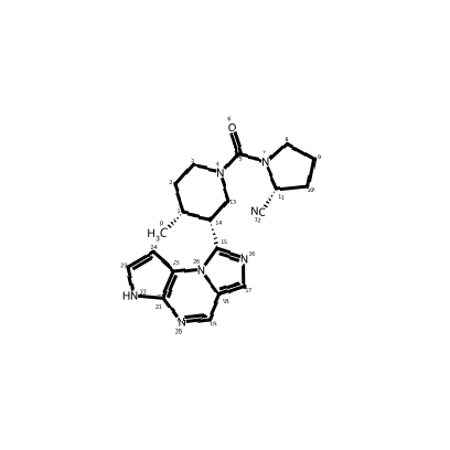 C[C@@H]1CCN(C(=O)N2CCC[C@@H]2C#N)C[C@@H]1c1ncc2cnc3[nH]ccc3n12